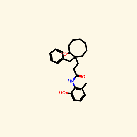 Cc1cccc(O)c1NC(=O)CCC1(Cc2ccccc2)CCCCCCC1O